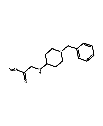 COC(=O)CNC1CCN(Cc2ccccc2)CC1